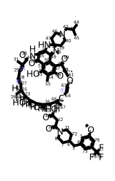 COc1cc(CC2CCN(C(=O)CC(=O)O[C@H]3[C@H](C)[C@H](O)[C@H](C)[C@@H](O)[C@@H](C)/C=C/C=C(/C)C(=O)NC4=C5NC6(CCN(CC(C)C)CC6)N=C5c5c(c(O)c(C)c6c5C(=O)[C@@](C)(O/C=C/C[C@H]3C)O6)C4=O)CC2)cc(C(F)(F)F)c1